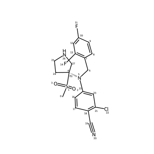 CS(=O)(=O)[C@@]1(N(Cc2ccc(F)cc2F)c2ccc(C#N)c(Cl)c2)CCNC1